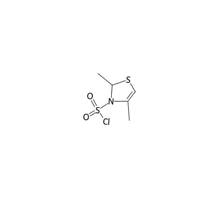 CC1=CSC(C)N1S(=O)(=O)Cl